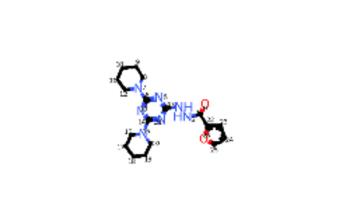 O=C(NNc1nc(N2CCCCC2)nc(N2CCCCC2)n1)c1ccco1